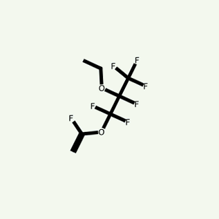 C=C(F)OC(F)(F)C(F)(OCC)C(F)(F)F